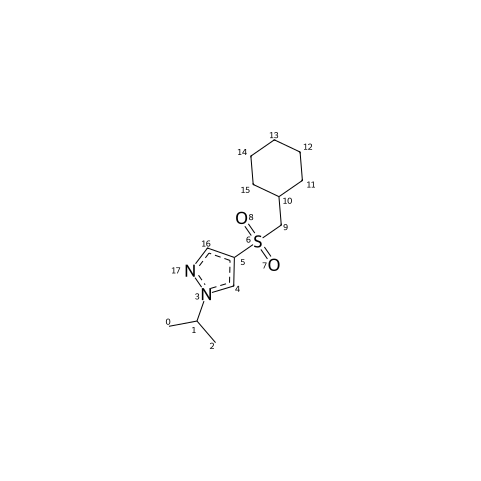 CC(C)n1cc(S(=O)(=O)CC2CCCCC2)cn1